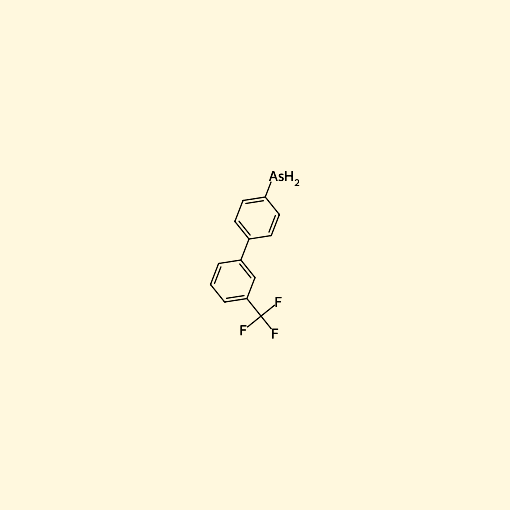 FC(F)(F)c1cccc(-c2ccc([AsH2])cc2)c1